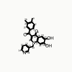 Cc1ccc(C(=O)c2cn(Cc3cccnc3)c3cc(O)c(O)cc3c2=O)cc1C